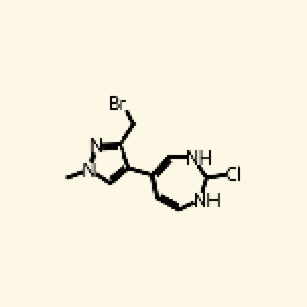 Cn1cc(C2=CNC(Cl)NC=C2)c(CBr)n1